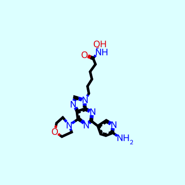 Nc1ccc(-c2nc(N3CCOCC3)c3ncn(CCCCCC(=O)NO)c3n2)cn1